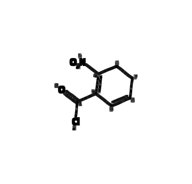 O=C(Cl)C1=C([N+](=O)[O-])CCC=C1